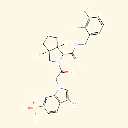 CC(=O)c1cn(CC(=O)N2C[C@@H]3CCC[C@@H]3[C@H]2C(=O)NCc2cccc(Cl)c2F)c2cc(P(=O)(O)O)ccc12